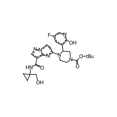 CC(C)(C)OC(=O)N1CCN(c2ccn3ncc(C(=O)NC4(CO)CC4)c3n2)C(c2cc(F)cnc2O)C1